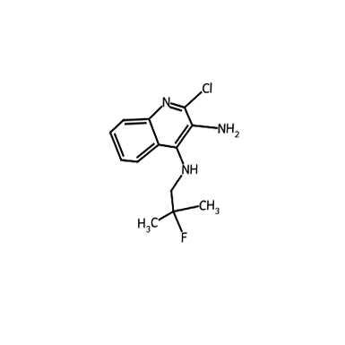 CC(C)(F)CNc1c(N)c(Cl)nc2ccccc12